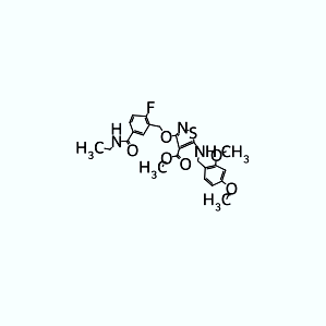 CCNC(=O)c1ccc(F)c(COc2nsc(NCc3ccc(OC)cc3OC)c2C(=O)OC)c1